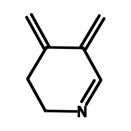 C=C1C=NCCC1=C